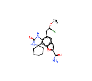 COC(Cl)Cc1cc2cc(C(N)=O)oc2c2c1NC(=O)NC21CCCCC1